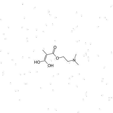 CC(C(=O)OCCN(C)C)=C(O)O